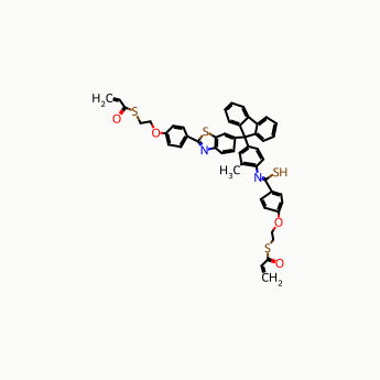 C=CC(=O)SCCOc1ccc(/C(S)=N/c2ccc(C3(c4ccc5nc(-c6ccc(OCCSC(=O)C=C)cc6)sc5c4)c4ccccc4-c4ccccc43)cc2C)cc1